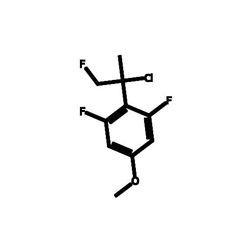 COc1cc(F)c(C(C)(Cl)CF)c(F)c1